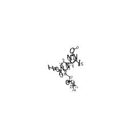 COc1nc(I)cc(N2CCN(C(=O)O)C(CCC(=O)OC(C)(C)C)C2)n1